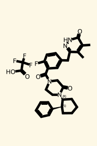 Cc1c(Cc2ccc(F)c(C(=O)N3CCN([C@@H]4CCCC[C@H]4c4ccccc4)C(=O)C3)c2)n[nH]c(=O)c1C.O=C(O)C(F)(F)F